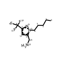 CCCCCn1nc(C(F)(F)F)cc1CN